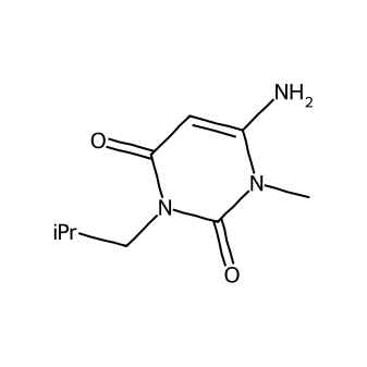 CC(C)Cn1c(=O)cc(N)n(C)c1=O